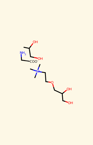 CC(O)CO.C[N+](C)(C)CCOCC(O)CO.NCC(=O)[O-]